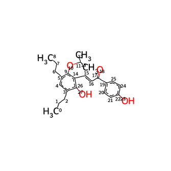 CCCc1cc(CCC)c(OC(C)C)c(/C=C/C(=O)c2ccc(O)cc2)c1O